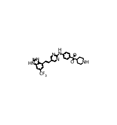 O=S(=O)(c1ccc(Nc2ncc(C=Cc3cc(C(F)(F)F)cc4[nH]nnc34)cn2)cc1)C1CCNCC1